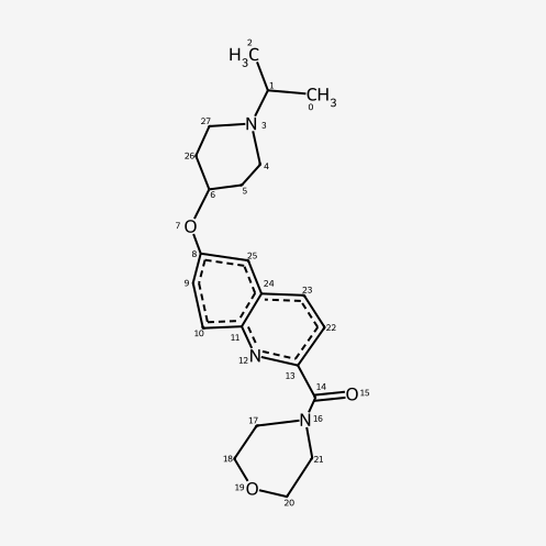 CC(C)N1CCC(Oc2ccc3nc(C(=O)N4CCOCC4)ccc3c2)CC1